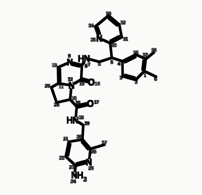 Cc1ccc(C(CNc2ncc3n(c2=O)C(C(=O)NCc2ccc(N)nc2C)CC3)c2ccccn2)cc1C